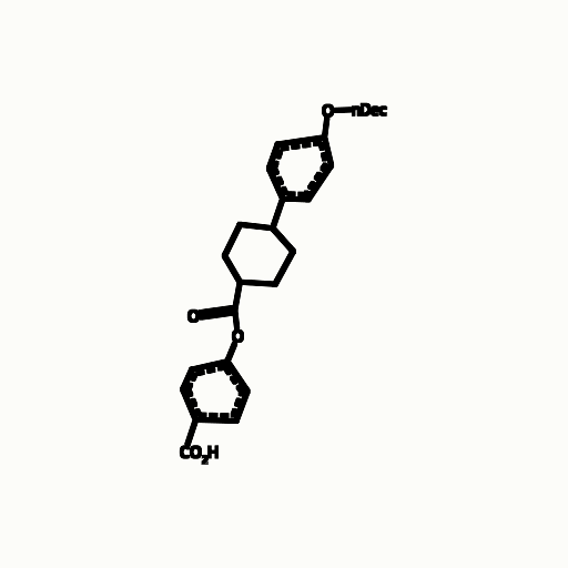 CCCCCCCCCCOc1ccc(C2CCC(C(=O)Oc3ccc(C(=O)O)cc3)CC2)cc1